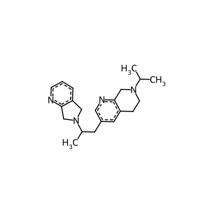 CC(C)N1CCc2cc(CC(C)N3Cc4cccnc4C3)cnc2C1